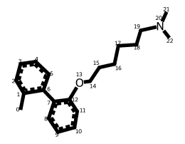 Cc1ccccc1-c1ccccc1OCCCCCCN(C)C